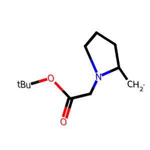 [CH2]C1CCCN1CC(=O)OC(C)(C)C